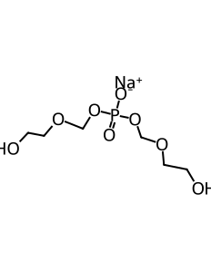 O=P([O-])(OCOCCO)OCOCCO.[Na+]